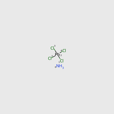 N.[Cl][Pb]([Cl])([Cl])[Cl]